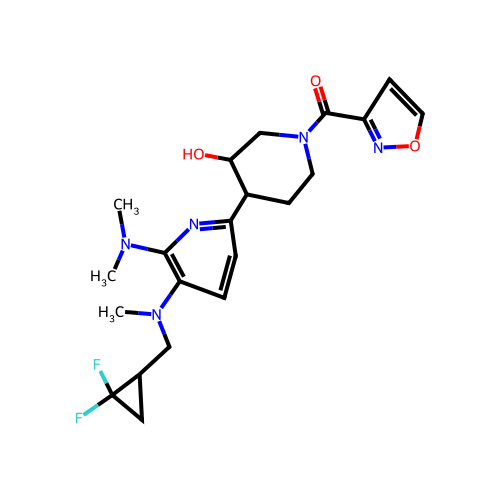 CN(C)c1nc(C2CCN(C(=O)c3ccon3)CC2O)ccc1N(C)CC1CC1(F)F